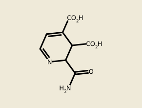 NC(=O)C1N=CC=C(C(=O)O)C1C(=O)O